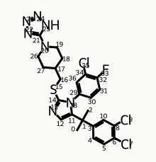 CC(C)(c1ccc(Cl)c(Cl)c1)c1cnc(SCC2CCN(c3nnn[nH]3)CC2)n1-c1ccc(F)c(Cl)c1